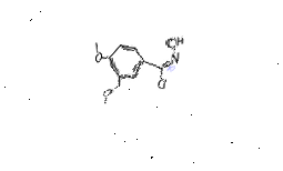 COc1ccc(/C(Cl)=N\O)cc1OC